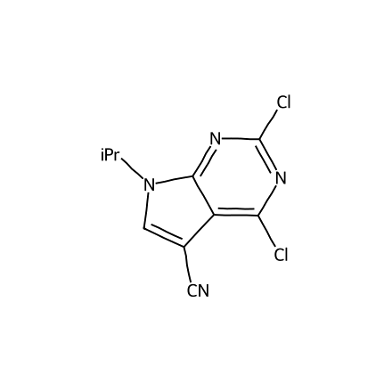 CC(C)n1cc(C#N)c2c(Cl)nc(Cl)nc21